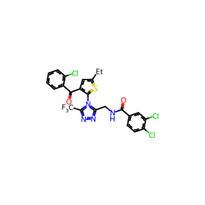 CCc1cc(C(=O)c2ccccc2Cl)c(-n2c(CNC(=O)c3ccc(Cl)c(Cl)c3)nnc2C(F)(F)F)s1